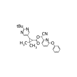 CC(C)(C)c1ncc(C2C(C(=O)OC(C#N)c3cccc(Oc4ccccc4)n3)C2(C)C)cn1